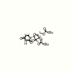 CC(C)(C)C(=O)OC[C@H]1O[C@@H](n2ccc(=O)[nH]c2=O)C(C)(O)[C@@H]1OC(=O)C(C)(C)C